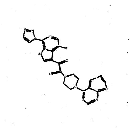 O=C(C(=O)N1CCN(c2ncnc3ncccc23)CC1)c1c[nH]c2c(-n3ccnn3)ncc(F)c12